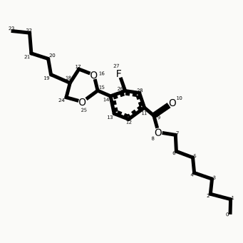 CCCCCCCCOC(=O)c1ccc(C2OCC(CCCCC)CO2)c(F)c1